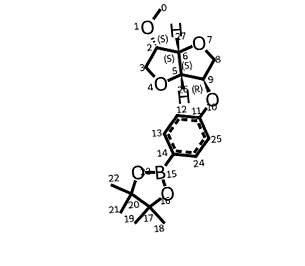 CO[C@H]1CO[C@@H]2[C@H]1OC[C@H]2Oc1ccc(B2OC(C)(C)C(C)(C)O2)cc1